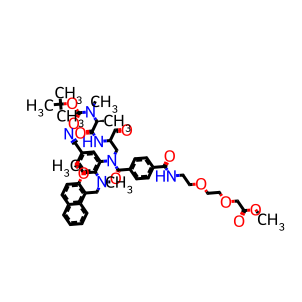 COC(=O)COCCOCCNC(=O)c1ccc(C(=O)N(CC(C=O)NC(=O)[C@H](C)N(C)C(=O)OC(C)(C)C)c2cc(C#N)ccc2N(C)Cc2c(OC)ccc3ccccc23)cc1